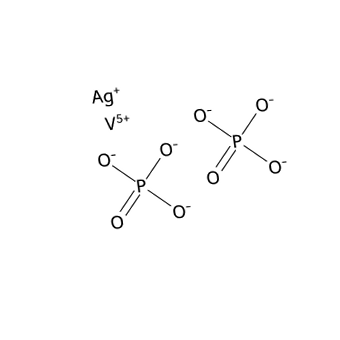 O=P([O-])([O-])[O-].O=P([O-])([O-])[O-].[Ag+].[V+5]